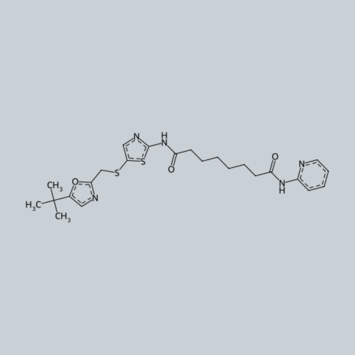 CC(C)(C)c1cnc(CSc2cnc(NC(=O)CCCCCCC(=O)Nc3ccccn3)s2)o1